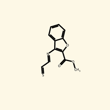 COC(=O)c1oc2ccccc2c1N=CC=S